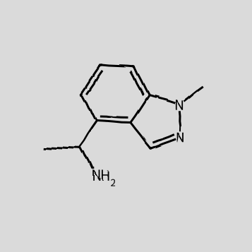 CC(N)c1cccc2c1cnn2C